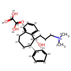 CN(C)CCC[C@]1(O)c2ccccc2CCC[C@H]1c1ccccc1.O=C(O)C(=O)O